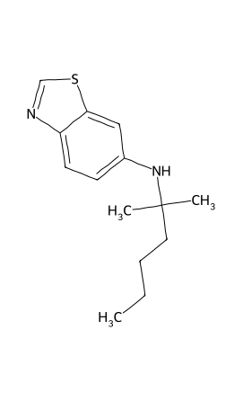 CCCCC(C)(C)Nc1ccc2ncsc2c1